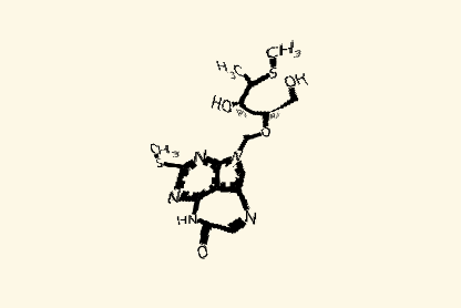 CSc1nc2c3c(cn(CO[C@H](CO)[C@@H](O)C(C)SC)c3n1)N=CC(=O)N2